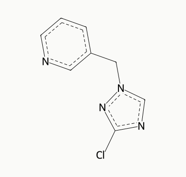 Clc1ncn(Cc2cccnc2)n1